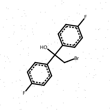 OC(CBr)(c1ccc(F)cc1)c1ccc(F)cc1